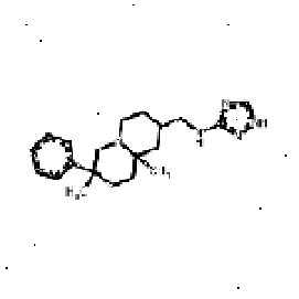 CC1(c2ccccc2)CCC2(C)CC(CNc3nc[nH]n3)CCN2C1